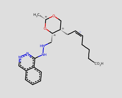 C[C@@H]1OC[C@H](C/C=C\CCCC(=O)O)[C@H](CNNc2nncc3ccccc23)O1